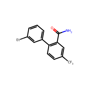 CCc1cccc(-c2ccc(C(F)(F)F)cc2C(N)=O)c1